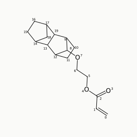 C=CC(=O)OCCOC1C2CCC1C1C3CCC(C3)C21